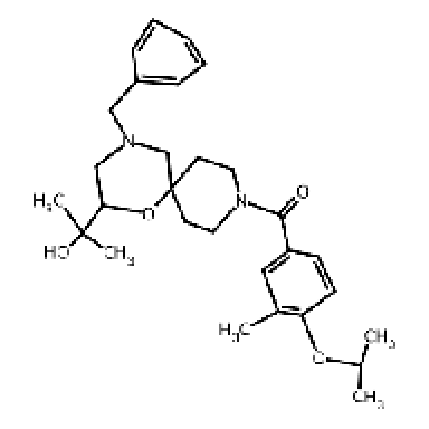 Cc1cc(C(=O)N2CCC3(CC2)CN(Cc2ccccc2)CC(C(C)(C)O)O3)ccc1OC(C)C